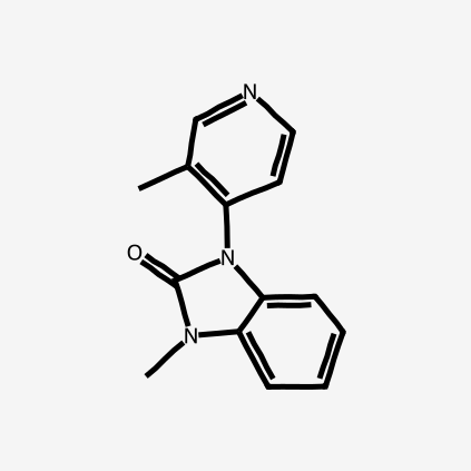 Cc1cnccc1-n1c(=O)n(C)c2ccccc21